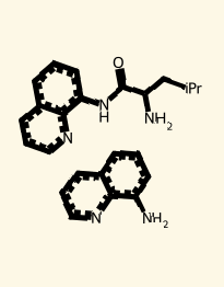 CC(C)CC(N)C(=O)Nc1cccc2cccnc12.Nc1cccc2cccnc12